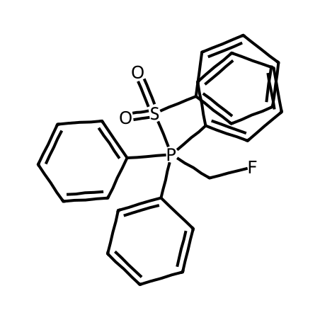 O=S(=O)(c1ccccc1)P(CF)(c1ccccc1)(c1ccccc1)c1ccccc1